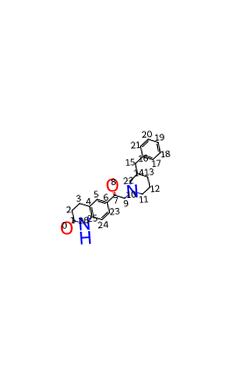 O=C1CCc2cc(C(=O)CN3CCCC(Cc4ccccc4)C3)ccc2N1